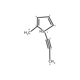 CC#C[SiH]1C=CC=C1C